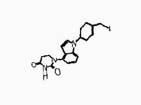 O=C1CCN(c2cccc3c2ccn3C2CCC(CI)CC2)C(=O)N1